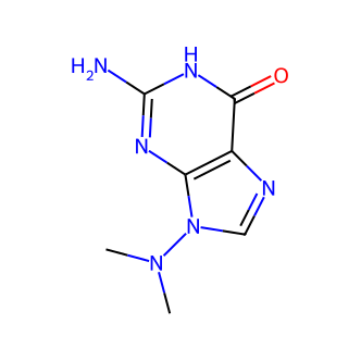 CN(C)n1cnc2c(=O)[nH]c(N)nc21